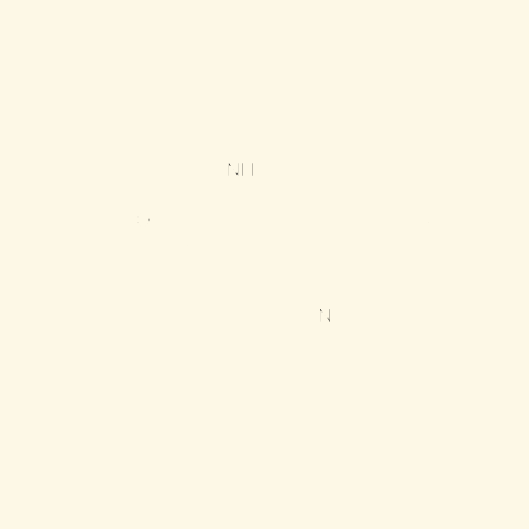 c1ccc(-n2c3ccccc3c3c4c(ccc32)Oc2ccccc2N4)cc1